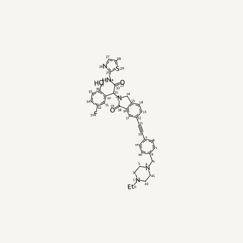 CCN1CCN(Cc2ccc(C#Cc3ccc4c(c3)C(=O)N(C(C(=O)Nc3nccs3)c3cc(F)ccc3O)C4)cc2)CC1